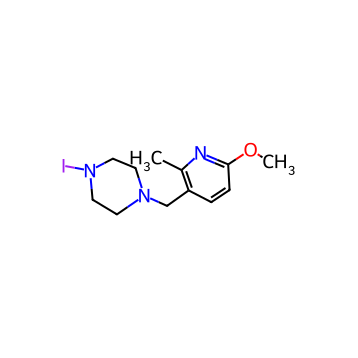 COc1ccc(CN2CCN(I)CC2)c(C)n1